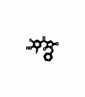 O=C1C=C(Nc2cc(F)c(O)c(F)c2)C(=O)N1Cc1ccccc1